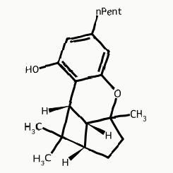 CCCCCc1cc(O)c2c(c1)OC1(C)CC[C@H]3[C@@H]1[C@@H]2C3(C)C